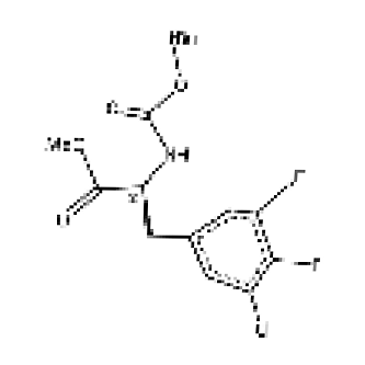 COC(=O)[C@H](Cc1cc(F)c(F)c(Cl)c1)NC(=O)OC(C)(C)C